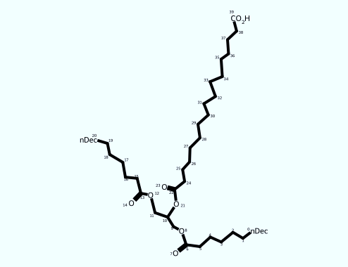 CCCCCCCCCCCCCCCC(=O)OCC(COC(=O)CCCCCCCCCCCCCCC)OC(=O)CCCCCCCCCCCCCCCC(=O)O